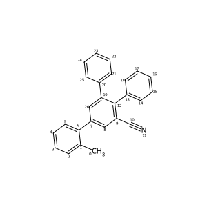 Cc1ccccc1-c1cc(C#N)c(-c2ccccc2)c(-c2ccccc2)c1